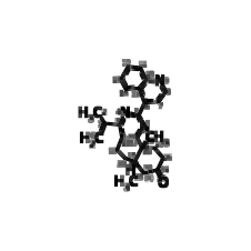 C=C(C)c1nc(-c2ccnc3ccccc23)nc2c1CC[C@@H]1[C@@H](C)C(=O)CC[C@@]21C